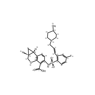 O=C(O)c1c(NS(=O)(=O)c2ccc(F)cc2C=CCN2CCC(O)CC2)ccc2c1OC[C@@H]1C[C@H]21